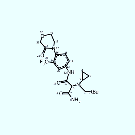 CC(C)(C)CN(C1CC1)[C@@H](C(N)=O)C(=O)Nc1ccc(N2CCOCC2=O)c(C(F)(F)F)c1